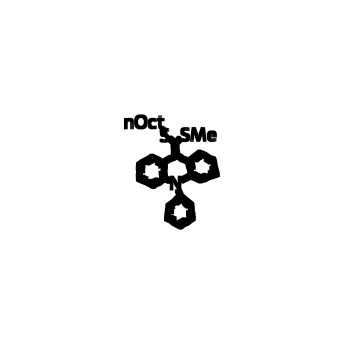 CCCCCCCCSC(SC)=C1c2ccccc2N(c2ccccc2)c2ccccc21